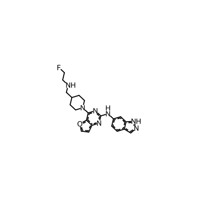 FCCNCC1CCN(c2nc(Nc3ccc4cn[nH]c4c3)nc3ccoc23)CC1